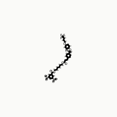 O=C(/C=C/c1ccc(C(F)(F)Oc2ccc(OCCCC(F)(F)F)cc2F)cc1)OCCCCCCOC(=O)c1cc([N+](=O)[O-])cc([N+](=O)[O-])c1